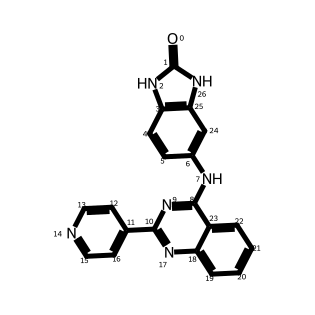 O=c1[nH]c2ccc(Nc3nc(-c4ccncc4)nc4ccccc34)cc2[nH]1